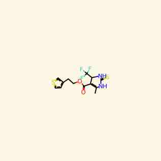 CC1=C(C(=O)OCCc2ccsc2)C(C(F)(F)F)NC(=S)N1